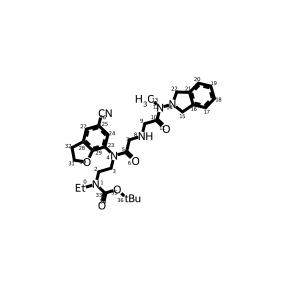 CCN(CCN(C(=O)CNCC(=O)N(C)N1Cc2ccccc2C1)c1cc(C#N)cc2c1OCC2)C(=O)OC(C)(C)C